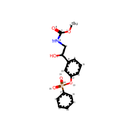 CC(C)(C)OC(=O)NCC(O)c1cccc(OS(=O)(=O)c2ccccc2)c1